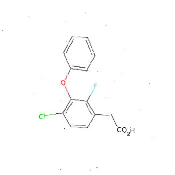 O=C(O)Cc1ccc(Cl)c(Oc2ccccc2)c1F